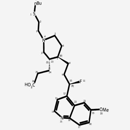 CCCCSCCN1CC[C@@H](CC[C@@H](F)c2ccnc3ccc(OC)cc23)[C@H](CCC(=O)O)C1